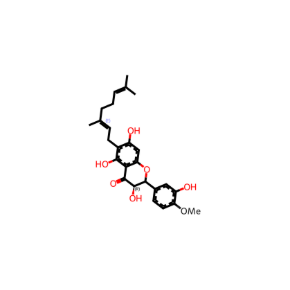 COc1ccc(C2Oc3cc(O)c(C/C=C(\C)CCC=C(C)C)c(O)c3C(=O)[C@@H]2O)cc1O